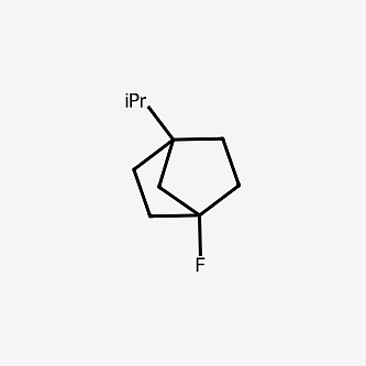 CC(C)C12CCC(F)(CC1)C2